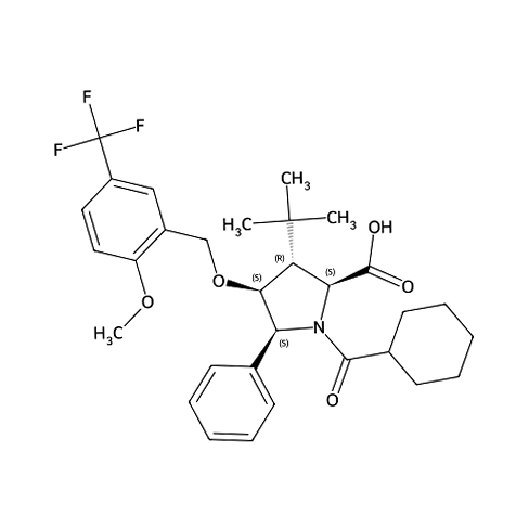 COc1ccc(C(F)(F)F)cc1CO[C@H]1[C@H](C(C)(C)C)[C@@H](C(=O)O)N(C(=O)C2CCCCC2)[C@H]1c1ccccc1